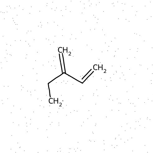 [CH2]CC(=C)C=C